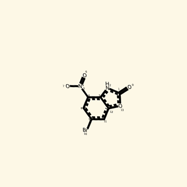 O=c1[nH]c2c([N+](=O)[O-])cc(Br)cc2o1